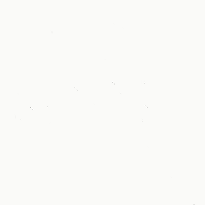 CCOC(=O)CO[C@H]1C[C@@H](C(=O)N(CCC(=O)N(C)C)c2ccc(Br)cc2)N(C(=O)[C@@H](NC(=O)c2cc3cc(C(F)(F)P(=O)(O)O)ccc3s2)C(C)(C)C)C1